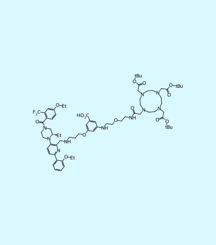 CCOc1ccc(C(=O)N2CCN(c3ccc(-c4ccccc4OCC)nc3CNCCCOc3cc(NCCOCCNC(=O)CN4CCN(CC(=O)OC(C)(C)C)CCN(CC(=O)OC(C)(C)C)CCN(CC(=O)OC(C)(C)C)CC4)cc(C(=O)O)c3)[C@H](CC)C2)c(C(F)(F)F)c1